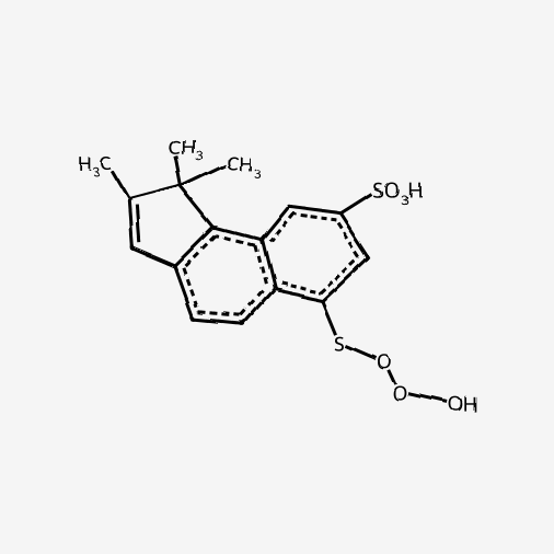 CC1=Cc2ccc3c(SOOO)cc(S(=O)(=O)O)cc3c2C1(C)C